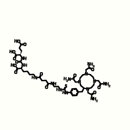 NC(=O)CN1CCN(CC(N)=O)CCN(CC(N)=O)C(Cc2ccc(NC(=S)NCCNC(=O)CCC(=O)NCCCC[C@H](NC(=O)N[C@@H](CCC(=O)O)C(=O)O)C(=O)O)cc2)CN(CC(N)=O)CC1